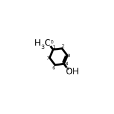 CC1CC=C(O)CC1